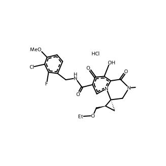 CCOC[C@@H]1C[C@]12CN(C)C(=O)c1c(O)c(=O)c(C(=O)NCc3ccc(OC)c(Cl)c3F)cn12.Cl